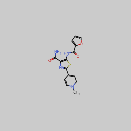 CN1C=CC(c2nc(C(N)=O)c(NC(=O)c3ccco3)s2)=CC1